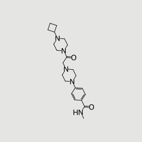 CNC(=O)c1ccc(N2CCN(CC(=O)N3CCN(C4CCC4)CC3)CC2)cc1